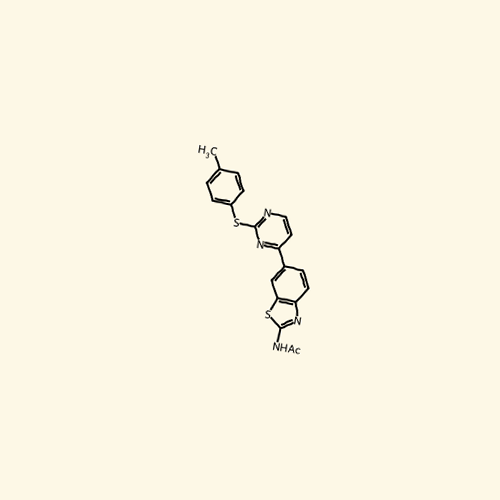 CC(=O)Nc1nc2ccc(-c3ccnc(Sc4ccc(C)cc4)n3)cc2s1